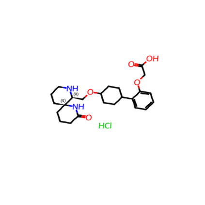 Cl.O=C(O)COc1ccccc1C1CCC(OC[C@@H]2NCCC[C@@]23CCCC(=O)N3)CC1